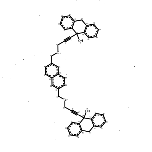 OC1(C#CCOCc2ccc3cc(COCC#CC4(O)c5ccccc5Cc5ccccc54)ccc3c2)c2ccccc2Cc2ccccc21